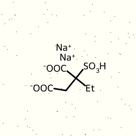 CCC(CC(=O)[O-])(C(=O)[O-])S(=O)(=O)O.[Na+].[Na+]